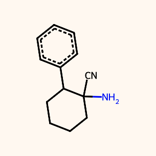 N#CC1(N)CCCCC1c1ccccc1